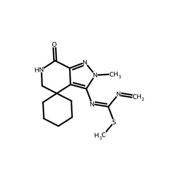 C=N/C(=N\c1c2c(nn1C)C(=O)NCC21CCCCC1)SC